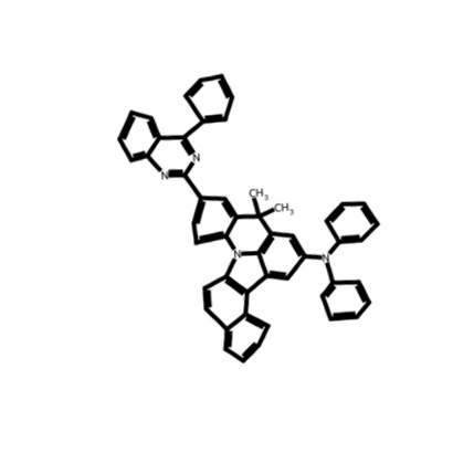 CC1(C)c2cc(-c3nc(-c4ccccc4)c4ccccc4n3)ccc2-n2c3ccc4ccccc4c3c3cc(N(c4ccccc4)c4ccccc4)cc1c32